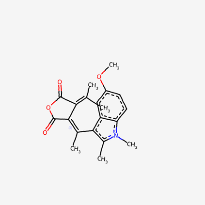 COc1ccc2c(c1)c(/C(C)=C1/C(=O)OC(=O)C1=C(C)C)c(C)n2C